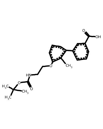 Cc1c(OCCNC(=O)OC(C)(C)C)cccc1-c1cccc(C(=O)O)c1